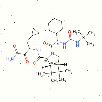 CC(C)(C)NC(=O)N[C@H](C(=O)N1C[C@H]2[C@@H]([C@H]1C(=O)NC(CC1CC1)C(=O)C(N)=O)C(C)(C)C2(C)C)C1CCCCC1